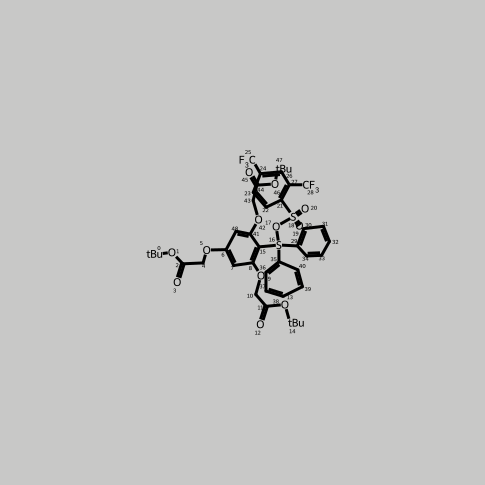 CC(C)(C)OC(=O)COc1cc(OCC(=O)OC(C)(C)C)c(S(OS(=O)(=O)c2ccc(C(F)(F)F)cc2C(F)(F)F)(c2ccccc2)c2ccccc2)c(OCC(=O)OC(C)(C)C)c1